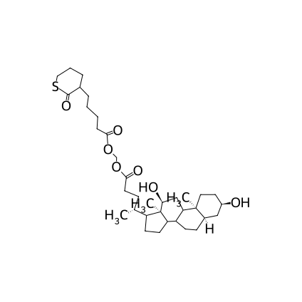 C[C@H](CCC(=O)OCOC(=O)CCCCC1CCCSC1=O)C1CCC2C3CC[C@@H]4C[C@H](O)CC[C@]4(C)C3C[C@H](O)[C@@]21C